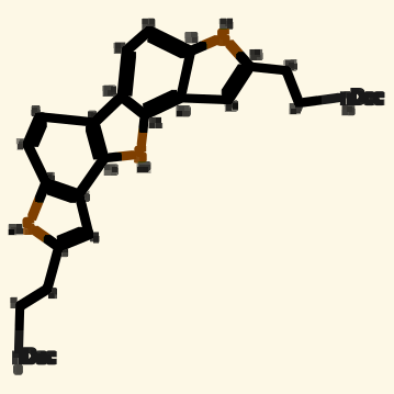 CCCCCCCCCCCCc1cc2c(ccc3c4ccc5sc(CCCCCCCCCCCC)cc5c4sc23)s1